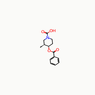 C[C@H]1CN(C(=O)O)CC[C@H]1OC(=O)c1ccccc1